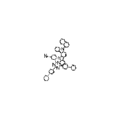 N#Cc1ccc(-n2c3ccccc3c3ccc4c(c5ccccc5n4-c4cccc5ccccc45)c32)c(-c2nc(-c3ccc(-c4ccccc4)cc3)nc(-c3ccc(-c4ccccc4)cc3)n2)c1